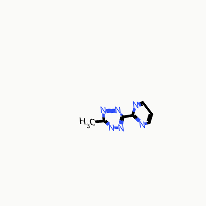 Cc1nnc(-c2ncccn2)nn1